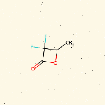 CC1OC(=O)C1(F)F